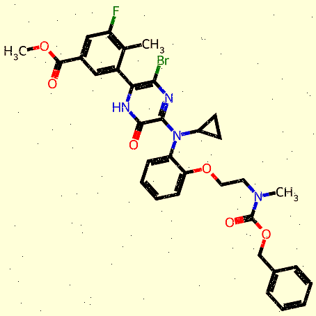 COC(=O)c1cc(F)c(C)c(-c2[nH]c(=O)c(N(c3ccccc3OCCN(C)C(=O)OCc3ccccc3)C3CC3)nc2Br)c1